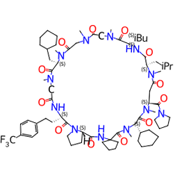 CC[C@H](C)[C@@H]1NC(=O)[C@H](CC(C)C)N(C)C(=O)C[C@@H](C(=O)N2CCCC2)N(C)C(=O)[C@H](C2CCCCC2)N(C)C(=O)C2(CCCC2)NC(=O)[C@@H]2CCCN2C(=O)[C@H](CCc2ccc(C(F)(F)F)cc2)NC(=O)CN(C)C(=O)[C@H](CC2CCCCC2)N(C)C(=O)CN(C)C(=O)CN(C)C1=O